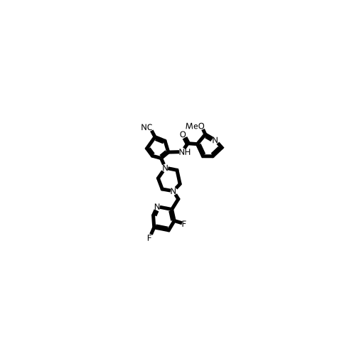 COc1ncccc1C(=O)Nc1cc(C#N)ccc1N1CCN(Cc2ncc(F)cc2F)CC1